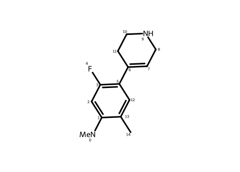 CNc1cc(F)c(C2=CCNCC2)cc1C